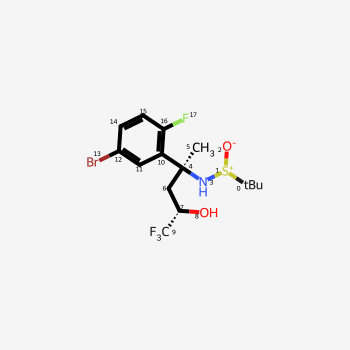 CC(C)(C)[S+]([O-])N[C@@](C)(C[C@H](O)C(F)(F)F)c1cc(Br)ccc1F